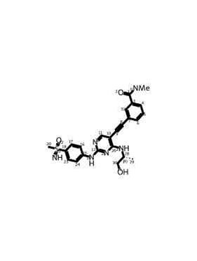 CNC(=O)c1cccc(C#Cc2cnc(Nc3ccc(S(C)(=N)=O)cc3)nc2N[C@H](C)CO)c1